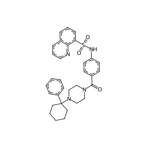 O=C(c1ccc(NS(=O)(=O)c2cccc3cccnc23)cc1)N1CCN(C2(c3ccccc3)CCCCC2)CC1